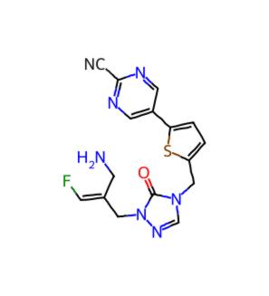 N#Cc1ncc(-c2ccc(Cn3cnn(C/C(=C/F)CN)c3=O)s2)cn1